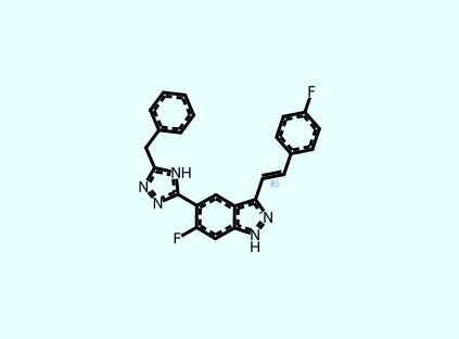 Fc1ccc(/C=C/c2n[nH]c3cc(F)c(-c4nnc(Cc5ccccc5)[nH]4)cc23)cc1